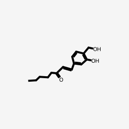 CCCCCC(=O)C=Cc1ccc(CO)c(O)c1